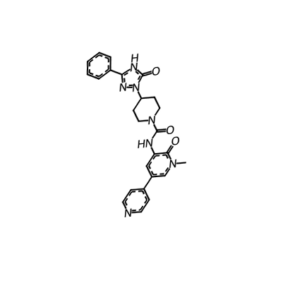 Cn1cc(-c2ccncc2)cc(NC(=O)N2CCC(n3nc(-c4ccccc4)[nH]c3=O)CC2)c1=O